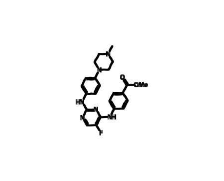 COC(=O)c1ccc(Nc2nc(Nc3ccc(N4CCN(C)CC4)cc3)ncc2F)cc1